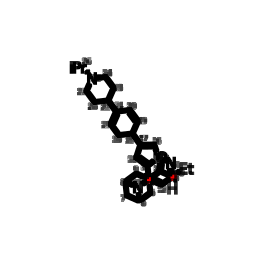 CCNC(=O)N1CC2CC(C1)N2c1ccnn2cc(C3C=CC(C4CCN(C(C)C)CC4)=CC3)cc12